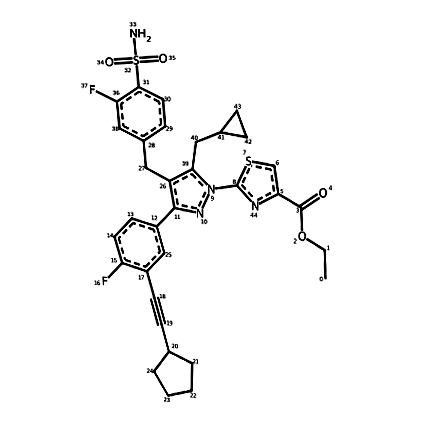 CCOC(=O)c1csc(-n2nc(-c3ccc(F)c(C#CC4CCCC4)c3)c(Cc3ccc(S(N)(=O)=O)c(F)c3)c2CC2CC2)n1